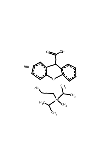 Br.CC(C)[N+](C)(CCO)C(C)C.O=C(O)C1c2ccccc2Oc2ccccc21